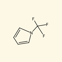 FC(F)(F)n1cccc1